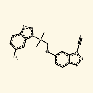 C[Si](C)(CNc1ccc2nnn(C#N)c2c1)n1nnc2ccc(N)cc21